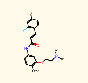 COc1ccc(NC(=O)C=Cc2ccc(Br)cc2F)cc1OCCN(C(C)C)C(C)C